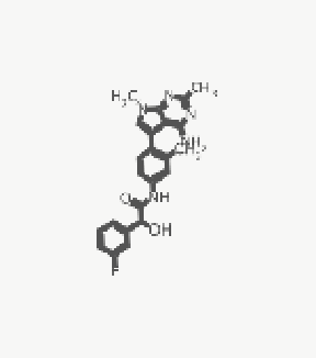 Cc1nc(N)c2c(-c3ccc(NC(=O)C(O)c4cccc(F)c4)cc3C)cn(C)c2n1